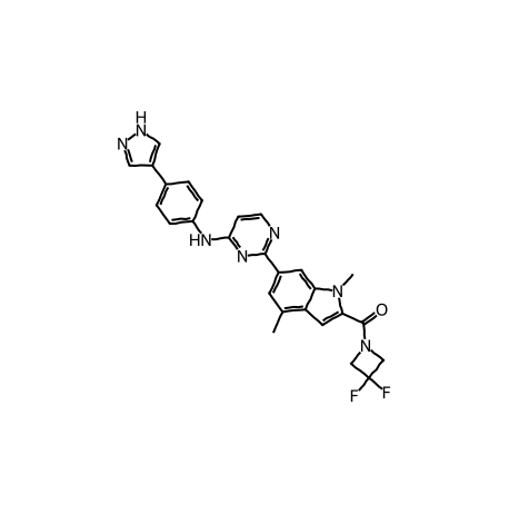 Cc1cc(-c2nccc(Nc3ccc(-c4cn[nH]c4)cc3)n2)cc2c1cc(C(=O)N1CC(F)(F)C1)n2C